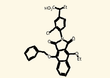 CCOc1c2c(c(OCc3ccccc3)c3ccccc13)C(=O)N(c1ccc(C(CC)C(=O)O)cc1Cl)C2=O